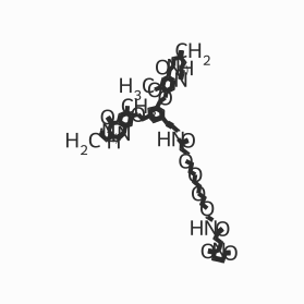 C=C1C[C@H]2C=Nc3cc(OCc4cc(C#CCNC(=O)CCOCCOCCOCCOCCNC(=O)CCN5C(=O)C=CC5=O)cc(COc5cc6c(cc5OC)C(=O)N5CC(=C)C[C@H]5C=N6)c4)c(C)cc3C(=O)N2C1